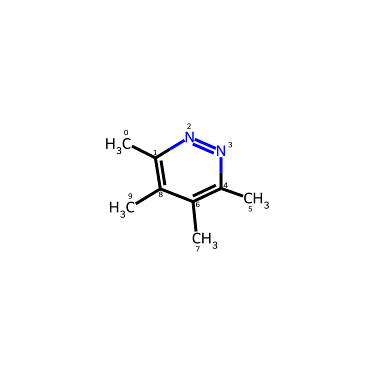 Cc1nnc(C)c(C)c1C